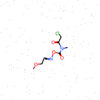 COCC=NOC(=O)N(C)C(=O)CCl